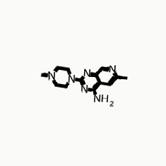 Cc1cc2c(N)nc(N3CCN(C)CC3)nc2cn1